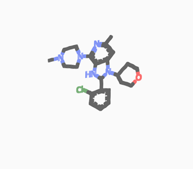 Cc1cc2c(c(N3CCN(C)CC3)n1)NC(c1ccccc1Cl)N2C1CCOCC1